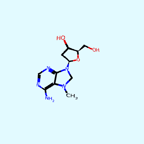 CN1CN([C@H]2CC(O)[C@@H](CO)O2)c2ncnc(N)c21